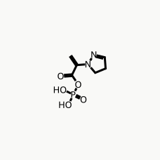 C=C(C(=O)OP(=O)(O)O)N1CCC=N1